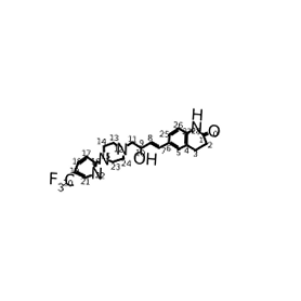 O=C1CCc2cc(C=C[C@@H](O)CN3CCN(c4ccc(C(F)(F)F)cn4)CC3)ccc2N1